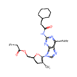 CNc1nc(NC(=O)CC2CCCCC2)nc2c1ncn2C1=C(C)CC(COC(=O)CC(C)C)O1